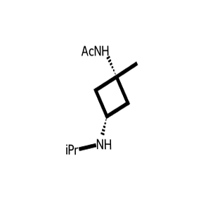 CC(=O)N[C@]1(C)C[C@H](NC(C)C)C1